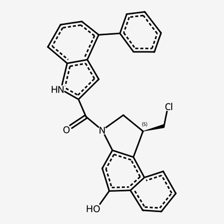 O=C(c1cc2c(-c3ccccc3)cccc2[nH]1)N1C[C@@H](CCl)c2c1cc(O)c1ccccc21